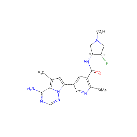 COc1ncc(-c2cc(C(F)(F)F)c3c(N)ncnn23)cc1C(=O)N[C@@H]1CN(C(=O)O)C[C@@H]1F